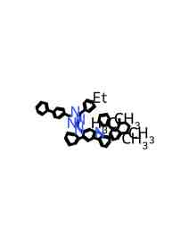 CCc1ccc(-c2nc(-c3ccc(-c4ccccc4)cc3)nc(-n3c4ccccc4c4cc5c6ccccc6n(-c6ccccc6-c6cccc7c6C(C)(C)CCC7(C)C)c5cc43)n2)cc1